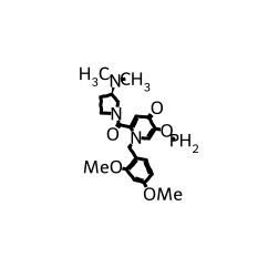 COc1ccc(Cn2cc(OP)c(=O)cc2C(=O)N2CC[C@@H](N(C)C)C2)c(OC)c1